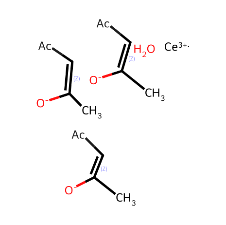 CC(=O)/C=C(/C)[O-].CC(=O)/C=C(/C)[O-].CC(=O)/C=C(/C)[O-].O.[Ce+3]